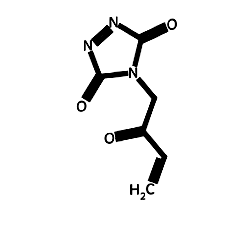 C=CC(=O)CN1C(=O)N=NC1=O